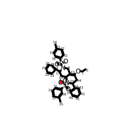 CCOC1=C2CN(S(=O)(=O)c3ccc(C)cc3)C(c3ccccc3)C[C@@H]2N(S(=O)(=O)c2cccc(C)c2)C(c2ccccc2)C1